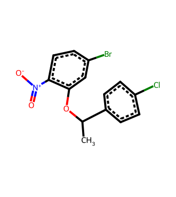 CC(Oc1cc(Br)ccc1[N+](=O)[O-])c1ccc(Cl)cc1